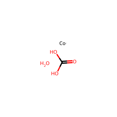 O.O=C(O)O.[Co]